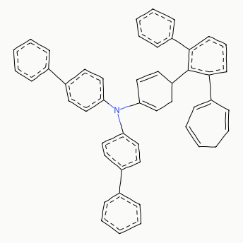 C1=CCC=CC(c2cccc(-c3ccccc3)c2C2C=CC(N(c3ccc(-c4ccccc4)cc3)c3ccc(-c4ccccc4)cc3)=CC2)=C1